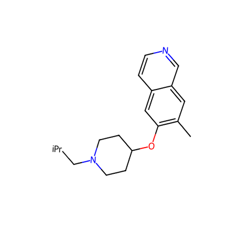 Cc1cc2cnccc2cc1OC1CCN(CC(C)C)CC1